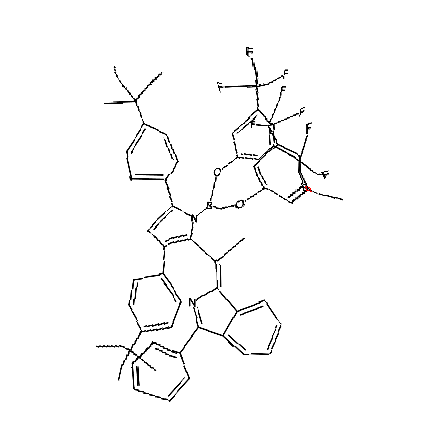 C/C(=C1/N=C(c2ccccc2)c2ccccc21)c1c(-c2ccc(C(C)(C)C)cc2)cc(-c2ccc(C(C)(C)C)cc2)n1B(Oc1cc(C)cc(C(F)(F)F)c1)Oc1cc(C(F)(F)F)cc(C(F)(F)F)c1